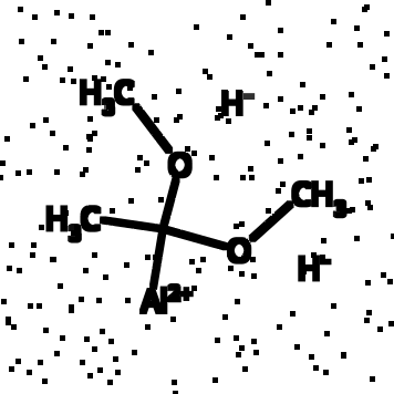 CO[C](C)([Al+2])OC.[H-].[H-]